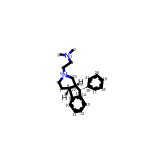 CN(C)CCN1CC[C@H]2c3ccccc3[C@@H](c3ccccc3)[C@H]2C1